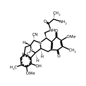 COC1=C(C)C(=O)C2=C(C1=O)[C@H](CNC(=O)[C@H](C)N)N1[C@@H](C#N)[C@H]3Cc4cc(C)c(OC)c(O)c4[C@H]([C@@H]1C2)N3C